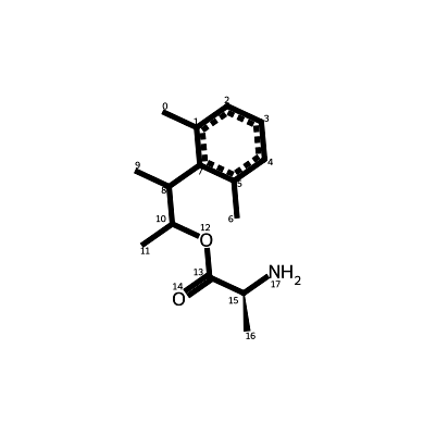 Cc1cccc(C)c1C(C)C(C)OC(=O)[C@H](C)N